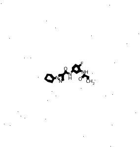 C=CC(=O)Nc1cc(NC(=O)c2cnn(C3=CCCC=C3)c2)ccc1F